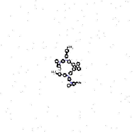 C=Cc1ccc(-c2ccc(N(c3ccc(-c4ccc(C5(c6ccc(-c7ccc(N(c8ccc(-c9ccc(C=C)cc9)cc8)c8ccc(-n9c%10ccccc%10c%10ccc(CC(C)C)cc%109)cc8)cc7)cc6)c6ccccc6-c6ccccc65)cc4)cc3)c3ccc(-n4c5ccccc5c5ccc(CC(C)C)cc54)cc3)cc2)cc1